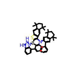 Cc1cc2c3c(c1)N(c1cc4c(cc1-c1ccccc1)C(C)(C)CCC4(C)C)c1c(sc4cc5c(cc14)C(C)(C)CCC5(C)C)B3N1NNc3cccc-2c31